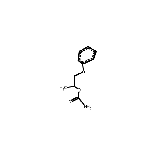 CC(COc1ccccc1)OC(N)=O